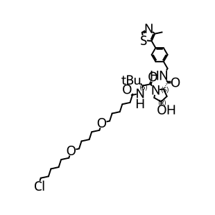 Cc1ncsc1-c1ccc(CNC(=O)[C@@H]2C[C@@H](O)CN2C(=O)[C@@H](NC(=O)CCCCCOCCCCCOCCCCCCCl)C(C)(C)C)cc1